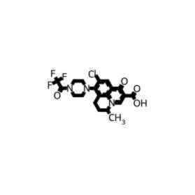 CC1CCc2c(N3CCN(C(=O)C(F)(F)F)CC3)c(Cl)cc3c(=O)c(C(=O)O)cn1c23